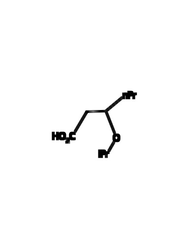 CCCC(CC(=O)O)OC(C)C